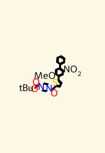 COc1cc(-c2ccccc2)c([N+](=O)[O-])cc1-c1ccc(C(=O)N2CCN(C(=O)OC(C)(C)C)CC2)s1